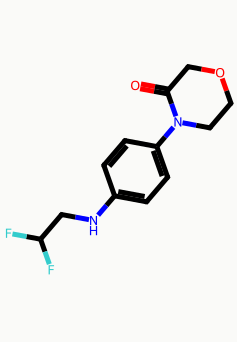 O=C1COCCN1c1ccc(NCC(F)F)cc1